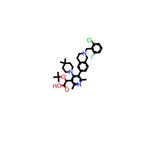 Cc1nc(C)c(C(OC(C)(C)C)C(=O)O)c(N2CCC(C)(C)CC2)c1-c1ccc2c(c1)CCN(Cc1c(F)cccc1Cl)C2